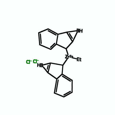 C[CH2][Zr+2]([CH]1C2=C(B2)c2ccccc21)[CH]1C2=C(B2)c2ccccc21.[Cl-].[Cl-]